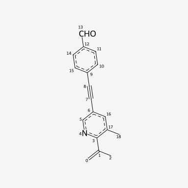 C=C(C)c1ncc(C#Cc2ccc(C=O)cc2)cc1C